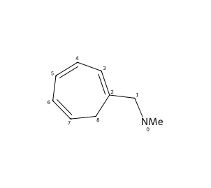 CNCC1=CC=CC=CC1